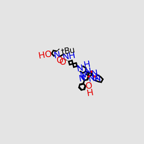 C[C@@H]1C[C@@H](O)CN1C(=O)[C@@H](NC(=O)[C@H]1CC2(C1)C[C@H](N1CCC(c3cnc(N4C5CCC4CN(c4c[nH]c6nnc(-c7ccccc7O)cc46)C5)nc3)CC1)C2)C(C)(C)C